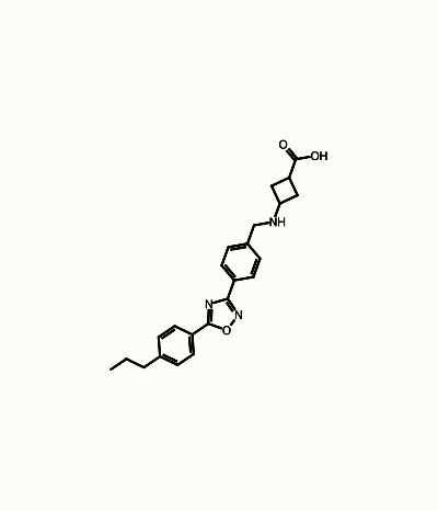 CCCc1ccc(-c2nc(-c3ccc(CNC4CC(C(=O)O)C4)cc3)no2)cc1